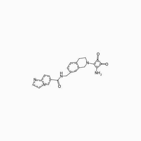 Nc1c(N2CCc3ccc(CNC(=O)c4ccc5nccn5c4)cc3C2)c(=O)c1=O